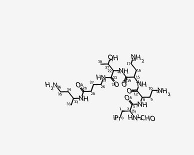 CC(C)C[C@H](NC=O)C(=O)NC(CCN)C(=O)NC(CCN)C(=O)NC(C(=O)NCCCC(=O)NC(C)CCN)C(C)O